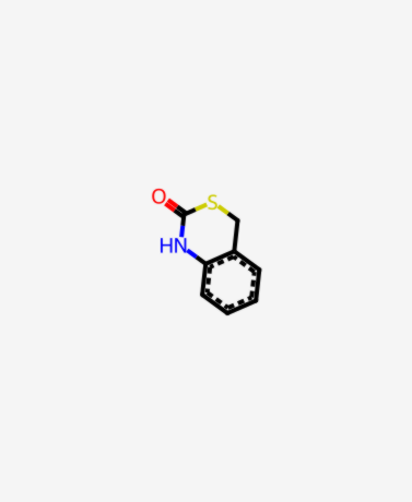 O=C1Nc2ccccc2CS1